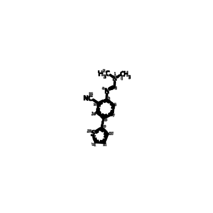 CN(C)C=Nc1ccc(-c2cccs2)cc1C#N